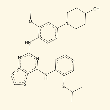 COc1cc(N2CCC(O)CC2)ccc1Nc1nc(Nc2ccccc2SC(C)C)c2sccc2n1